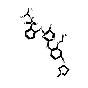 CCOc1cc(O[C@H]2CCN(C)C2)ccc1Nc1ncc(Cl)c(Nc2ccccc2S(=O)(=O)NC(C)C)n1